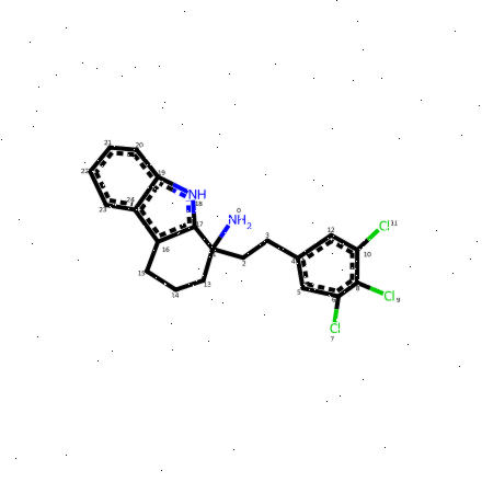 NC1(CCc2cc(Cl)c(Cl)c(Cl)c2)CCCc2c1[nH]c1ccccc21